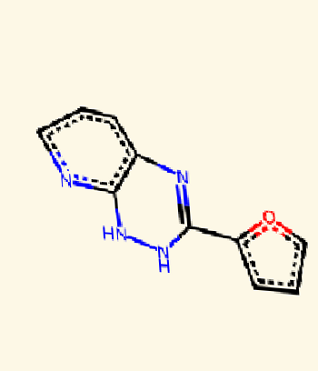 c1coc(C2=Nc3cccnc3NN2)c1